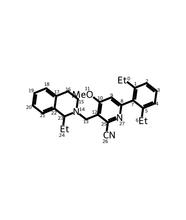 CCc1cccc(CC)c1-c1cc(OC)c(CN2CCc3ccccc3C2CC)c(C#N)n1